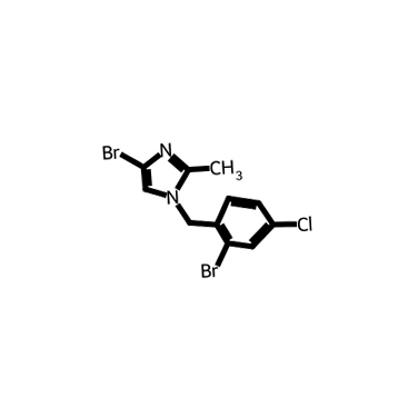 Cc1nc(Br)cn1Cc1ccc(Cl)cc1Br